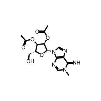 CC(=O)O[C@@H]1[C@H](OC(C)=O)[C@@H](CO)O[C@H]1n1cnc2c(=N)n(C)cnc21